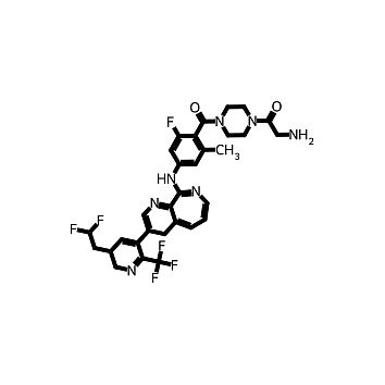 Cc1cc(NC2=NC=CC=C3CC(C4=CC(CC(F)F)CN=C4C(F)(F)F)=CN=C32)cc(F)c1C(=O)N1CCN(C(=O)CN)CC1